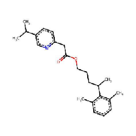 Cc1cccc(C)c1C(C)CCCOC(=O)Cc1ccc(C(C)C)cn1